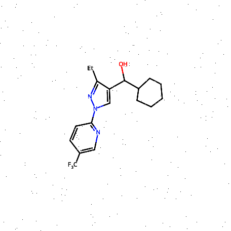 CCc1nn(-c2ccc(C(F)(F)F)cn2)cc1C(O)C1CCCCC1